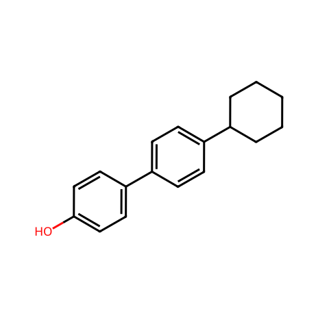 Oc1ccc(-c2ccc(C3CCCCC3)cc2)cc1